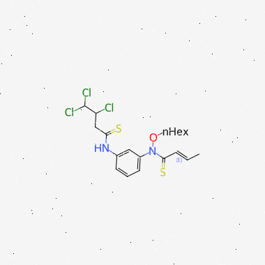 C/C=C/C(=S)N(OCCCCCC)c1cccc(NC(=S)CC(Cl)C(Cl)Cl)c1